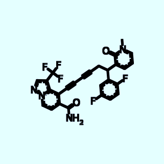 Cn1cccc(C(CC#CC#Cc2c(C(N)=O)ccn3ncc(C(F)(F)F)c23)c2cc(F)ccc2F)c1=O